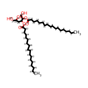 CCCCCCCCCCCCCCCCCC(=O)OC(CO)C(CC(O)CO)OC(=O)CCCCCCCCCCCCCCCCC